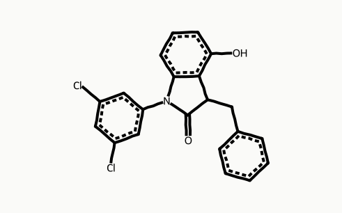 O=C1C(Cc2ccccc2)c2c(O)cccc2N1c1cc(Cl)cc(Cl)c1